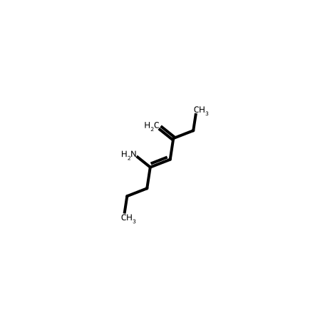 C=C(/C=C(\N)CCC)CC